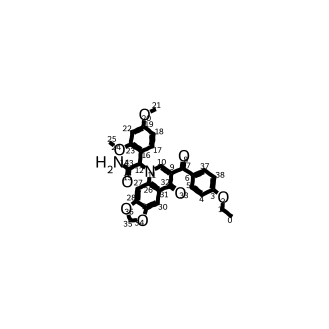 CCOc1ccc(C(=O)c2cn(C(C(N)=O)c3ccc(OC)cc3OC)c3cc4c(cc3c2=O)OCO4)cc1